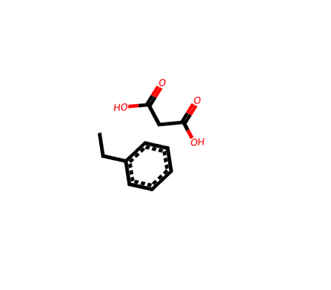 CCc1ccccc1.O=C(O)CC(=O)O